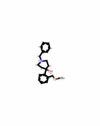 CC(C)(C)SCc1ccccc1C1(O)CCN(Cc2ccccc2)CC1